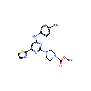 CC(C)(C)OC(=O)N1CCN(c2nc(Nc3ccc(C#N)cc3)cc(-c3nccs3)n2)CC1